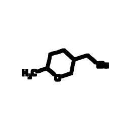 CC1CCC(CC(C)(C)C)CO1